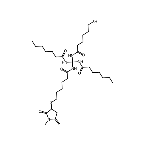 C=C1CC(SCCCCCC(=O)NC(NC(=O)CCCCCC)(NC(=O)CCCCCC)NC(=O)CCCCCS)C(=O)N1C